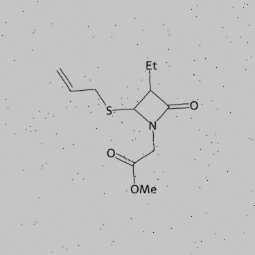 C=CCSC1C(CC)C(=O)N1CC(=O)OC